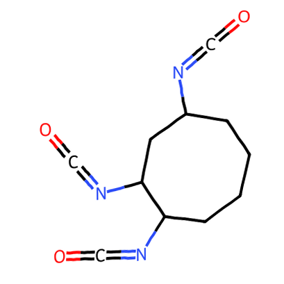 O=C=NC1CCCCC(N=C=O)C(N=C=O)C1